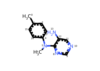 Cc1ccc(N(C)c2ncncc2N)cc1